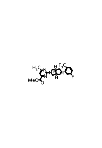 COC(=O)c1cc(C)nc(N2C[C@H]3C[C@H](c4cc(F)ccc4C(F)(F)F)C[C@H]3C2)n1